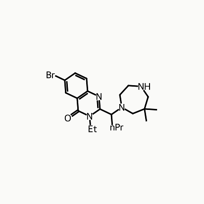 CCCC(c1nc2ccc(Br)cc2c(=O)n1CC)N1CCNCC(C)(C)C1